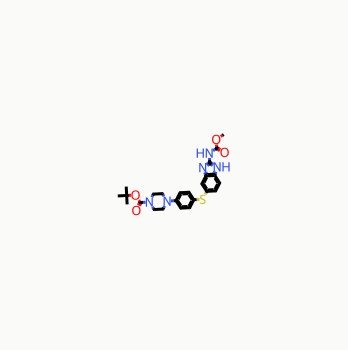 COC(=O)Nc1nc2cc(Sc3ccc(N4CCN(C(=O)OC(C)(C)C)CC4)cc3)ccc2[nH]1